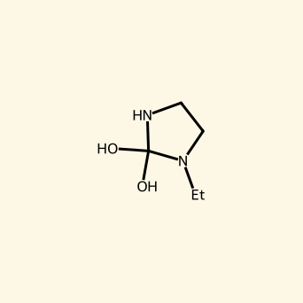 CCN1CCNC1(O)O